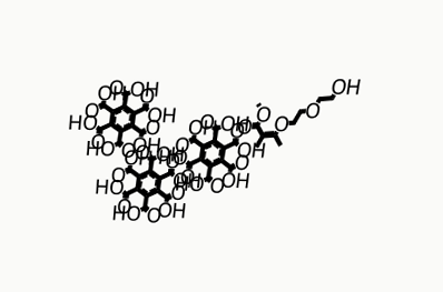 COC(=O)C(C)=C(C)OCCOCCO.O=C(O)c1c(C(=O)O)c(C(=O)O)c(C(=O)O)c(C(=O)O)c1C(=O)O.O=C(O)c1c(C(=O)O)c(C(=O)O)c(C(=O)O)c(C(=O)O)c1C(=O)O.O=C(O)c1c(C(=O)O)c(C(=O)O)c(C(=O)O)c(C(=O)O)c1C(=O)O